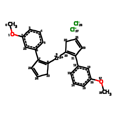 COc1cccc(C2=[C]([Zr+2][C]3=C(c4cccc(OC)c4)C=CC3)CC=C2)c1.[Cl-].[Cl-]